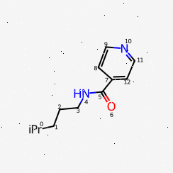 CC(C)CCCNC(=O)c1ccncc1